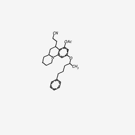 CC(=O)Oc1cc(OC(C)CCCc2ccccc2)cc2c1C(CCC#N)CC1CCCCN21